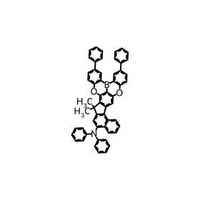 CC1(C)c2cc(N(c3ccccc3)c3ccccc3)c3ccccc3c2-c2cc3c4c(c21)Oc1ccc(-c2ccccc2)cc1B4c1cc(-c2ccccc2)ccc1O3